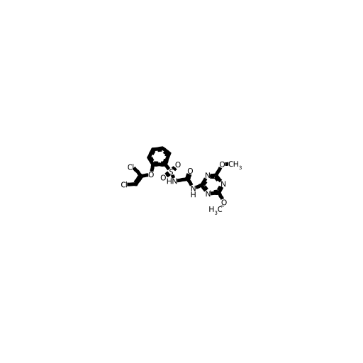 COc1nc(NC(=O)NS(=O)(=O)c2ccccc2O/C(Cl)=C/Cl)nc(OC)n1